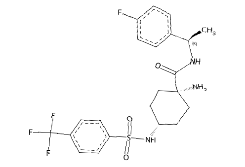 C[C@@H](NC(=O)[C@]1(N)CC[C@@H](NS(=O)(=O)c2ccc(C(F)(F)F)cc2)CC1)c1ccc(F)cc1